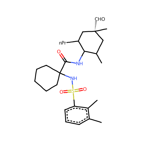 CCCC1C[C@](C)(C=O)CC(C)C1NC(=O)C1(NS(=O)(=O)c2cccc(C)c2C)CCCCC1